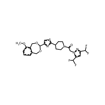 COc1cccc2c1COC(c1csc(C3CCN(C(=O)Cn4nc(C(F)F)cc4C(F)F)CC3)n1)OC2